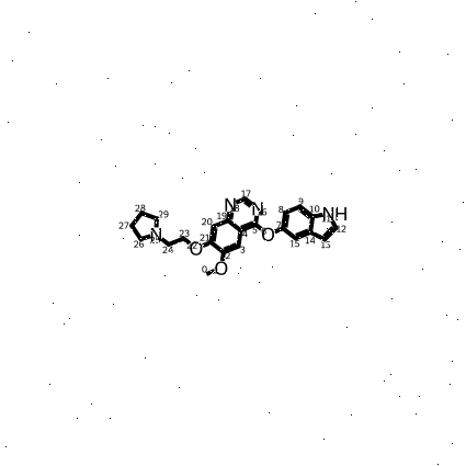 COc1cc2c(Oc3ccc4[nH]ccc4c3)ncnc2cc1OCCN1CCCC1